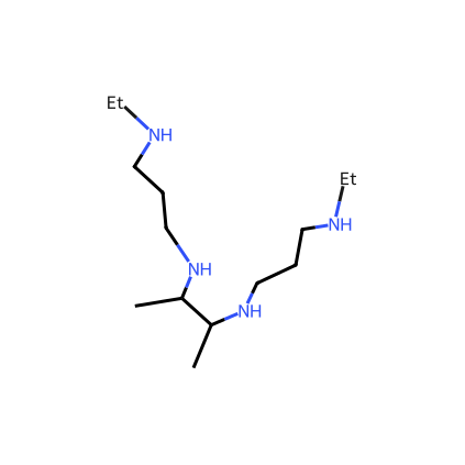 CCNCCCNC(C)C(C)NCCCNCC